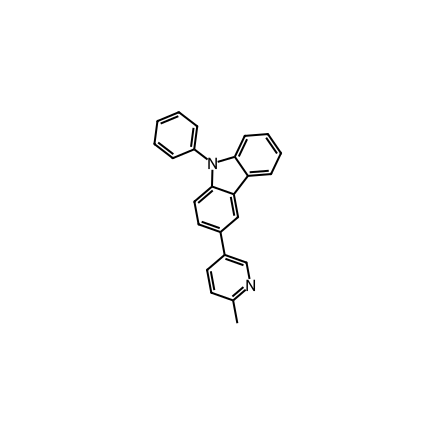 Cc1ccc(-c2ccc3c(c2)c2ccccc2n3-c2ccccc2)cn1